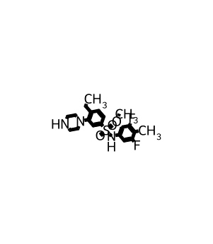 CCc1ccc(S(=O)(=O)Nc2cc(F)c(C)c(F)c2OC)cc1N1CCNCC1